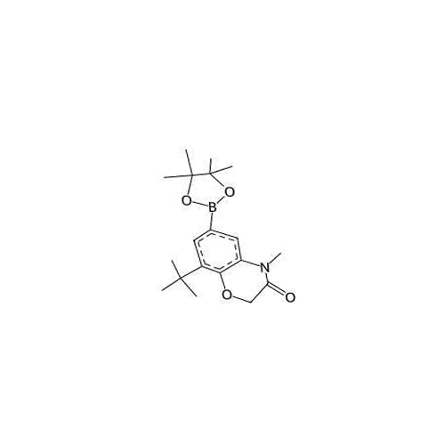 CN1C(=O)COc2c1cc(B1OC(C)(C)C(C)(C)O1)cc2C(C)(C)C